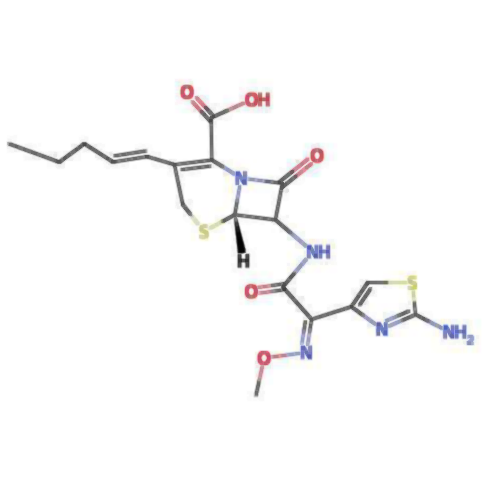 CCC/C=C/C1=C(C(=O)O)N2C(=O)C(NC(=O)/C(=N\OC)c3csc(N)n3)[C@@H]2SC1